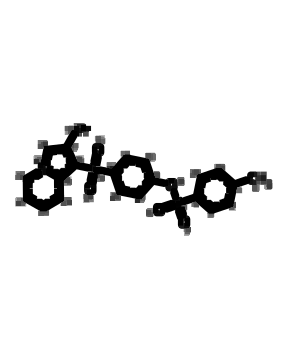 Cc1ccc(S(=O)(=O)Oc2ccc(S(=O)(=O)c3c(C(C)C)cn4ccccc34)cc2)cc1